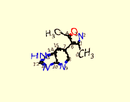 Cc1noc(C)c1-c1cnc2nc[nH]c2c1